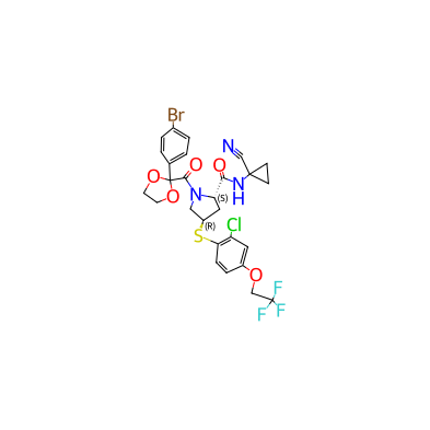 N#CC1(NC(=O)[C@@H]2C[C@@H](Sc3ccc(OCC(F)(F)F)cc3Cl)CN2C(=O)C2(c3ccc(Br)cc3)OCCO2)CC1